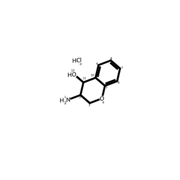 Cl.NC1COc2ccccc2C1O